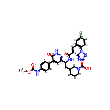 COC(=O)Nc1ccc(-c2cc(C(CC3CCCN(C(=O)O)C3)NC(=O)C=Cc3cc(Cl)ccc3-n3cnnn3)n[nH]c2=O)cc1